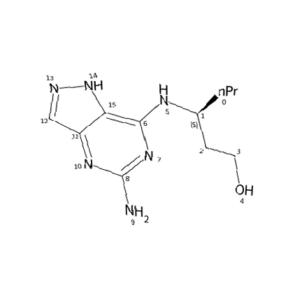 CCC[C@@H](CCO)Nc1nc(N)nc2cn[nH]c12